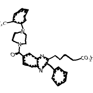 O=C(O)CCCCc1nc2cc(C(=O)N3CCN(c4ccccc4C(F)(F)F)CC3)ccc2nc1-c1ccccc1